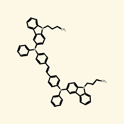 CCCCn1c2ccccc2c2cc(N(c3ccccc3)c3ccc(/C=C/c4ccc(N(c5ccccc5)c5ccc6c(c5)c5ccccc5n6CCCC)cc4)cc3)ccc21